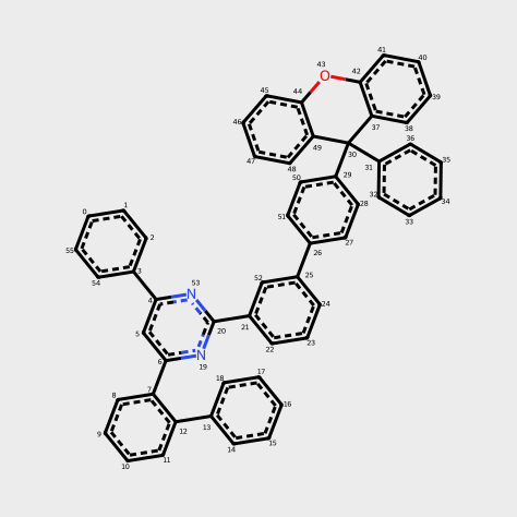 c1ccc(-c2cc(-c3ccccc3-c3ccccc3)nc(-c3cccc(-c4ccc(C5(c6ccccc6)c6ccccc6Oc6ccccc65)cc4)c3)n2)cc1